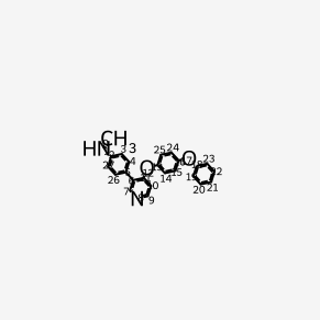 CNc1ccc(-c2cnccc2Oc2ccc(Oc3ccccc3)cc2)cc1